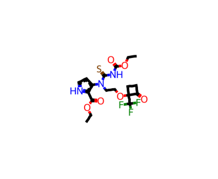 CCOC(=O)NC(=S)N(CCOC1(C(F)(F)F)CCC1=O)c1cc[nH]c1C(=O)OCC